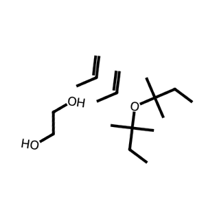 C=CC.C=CC.CCC(C)(C)OC(C)(C)CC.OCCO